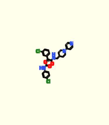 O=C(Nc1ccc(Cl)cc1)O[C@@H](C(=O)NCC1CCN(c2ccncc2)CC1)c1cccc(Cl)c1